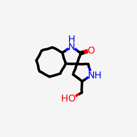 O=C1NC2CCCCCCC2C12CNC(CO)C2